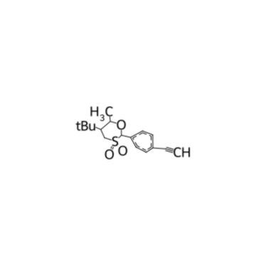 C#Cc1ccc(C2OC(C)C(C(C)(C)C)CS2(=O)=O)cc1